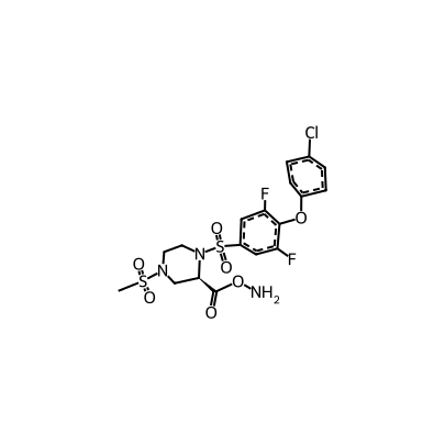 CS(=O)(=O)N1CCN(S(=O)(=O)c2cc(F)c(Oc3ccc(Cl)cc3)c(F)c2)[C@@H](C(=O)ON)C1